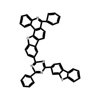 c1ccc(-c2nc(-c3ccc4c(c3)sc3ccccc34)nc(-c3ccc4oc5c(ccc6c(-c7ccccc7)nc7ccccc7c65)c4c3)n2)cc1